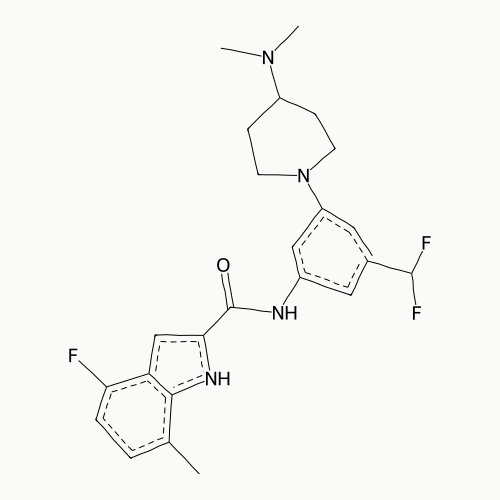 Cc1ccc(F)c2cc(C(=O)Nc3cc(C(F)F)cc(N4CCC(N(C)C)CC4)c3)[nH]c12